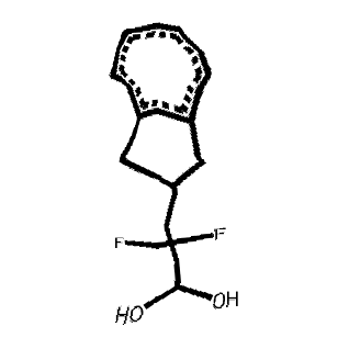 OC(O)C(F)(F)C1Cc2ccccc2C1